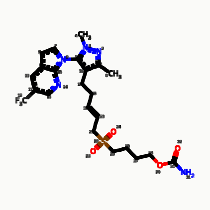 Cc1nn(C)c(-n2ccc3cc(C(F)(F)F)cnc32)c1CCC=CCS(=O)(=O)CCCCOC(N)=O